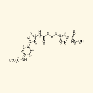 CCOC(=O)Nc1ccc(-c2csc(NC(=O)CCCc3cc(C(=O)NO)no3)n2)cc1